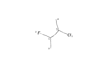 CC(F)C(C)Cl